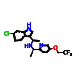 C=C(N[C@H](C)c1ccc(OCC(F)(F)F)cn1)c1c[nH]c2cc(Cl)ccc12